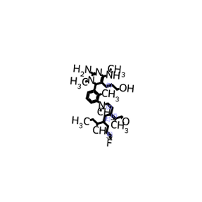 CCC(C)/C(=C/C(/C=C\N(C)c1cccc(C2C(/C=C/CO)=C(NC)N=C(N)N2C)c1C)=C(\C)C=O)C/C=C/F